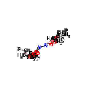 Cc1c(C)c2c(c(C)c1OC(=O)CCC(=O)OCCC1CCN(CCCCCCN3CCC(CCOC(=O)CCC(=O)Oc4c(C)c(C)c5c(c4C)CCC(C)(CCCC(C)CCCC(C)CCCC(C)C)O5)CC3)CC1)CCC(C)(CCCC(C)CCCC(C)CCCC(C)C)O2